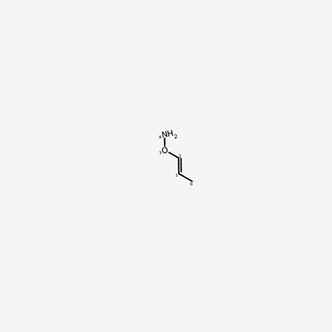 CC=CON